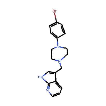 Brc1ccc(N2CCN(Cc3c[nH]c4ncccc34)CC2)cc1